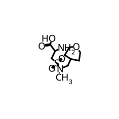 CN(CC1CCOCC1)S(=O)(=O)CC(N)C(=O)O